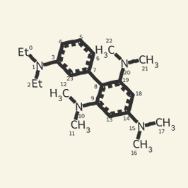 CCN(CC)c1[c]ccc(-c2c(N(C)C)cc(N(C)C)cc2N(C)C)c1